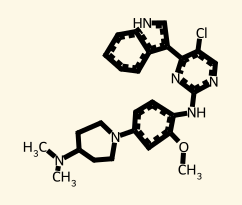 COc1cc(N2CCC(N(C)C)CC2)ccc1Nc1ncc(Cl)c(-c2c[nH]c3ccccc23)n1